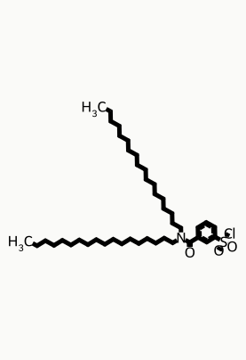 CCCCCCCCCCCCCCCCCCN(CCCCCCCCCCCCCCCCCC)C(=O)c1cccc(S(=O)(=O)Cl)c1